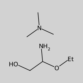 CCOC(N)CO.CN(C)C